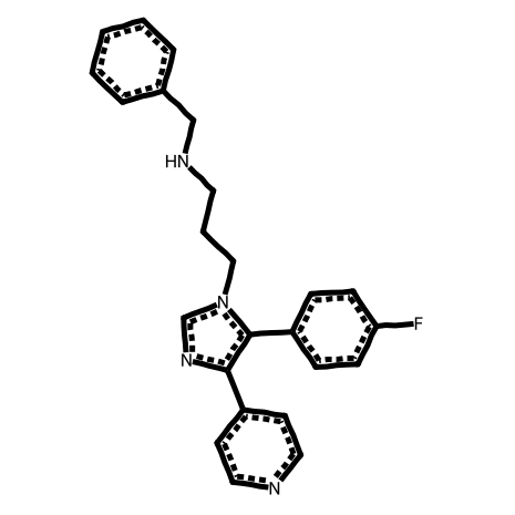 Fc1ccc(-c2c(-c3ccncc3)ncn2CCCNCc2ccccc2)cc1